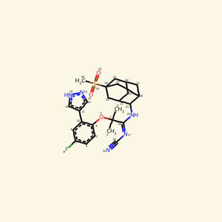 CC(C)(Oc1ccc(F)cc1-c1cn[nH]c1)/C(=N\C#N)NC1C2CC3CC1CC(S(C)(=O)=O)(C3)C2